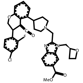 COC(=O)c1ccc2nc(CN3CCC(c4cccc5c4C(=C=O)C(c4ccc(Cl)cc4F)CO5)CC3)n(C[C@@H]3CCO3)c2c1